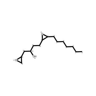 CCCCCCCC1OC1CCC(O)CC1CO1